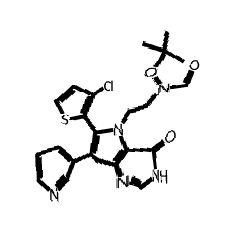 CC(C)(C)ON(C=O)CCn1c(-c2sccc2Cl)c(-c2cccnc2)c2nc[nH]c(=O)c21